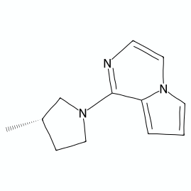 C[C@H]1CCN(c2nccn3cccc23)C1